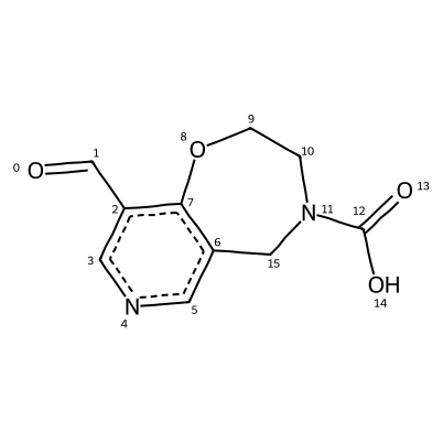 O=Cc1cncc2c1OCCN(C(=O)O)C2